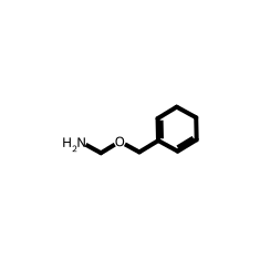 NCOCC1=CCCC=C1